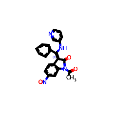 CC(=O)N1C(=O)/C(=C(\Nc2cccnc2)c2ccccc2)c2ccc(N=O)cc21